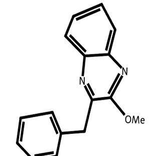 COc1nc2ccccc2nc1Cc1ccccc1